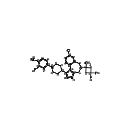 CC1(N2Cc3cc(Cl)ccc3-n3c(nnc3C3CCN(c4ccc(C#N)c(F)n4)CC3)C2)CC(F)(F)C1